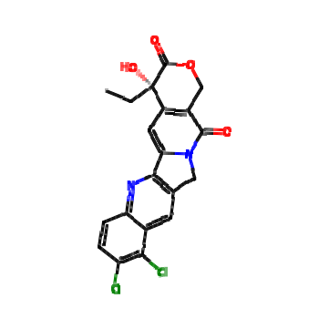 CC[C@@]1(O)C(=O)OCc2c1cc1n(c2=O)Cc2cc3c(Cl)c(Cl)ccc3nc2-1